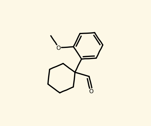 COc1ccccc1C1(C=O)CCCCC1